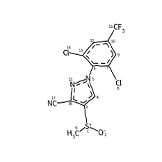 C[S+]([O-])c1cn(-c2c(Cl)cc(C(F)(F)F)cc2Cl)nc1C#N